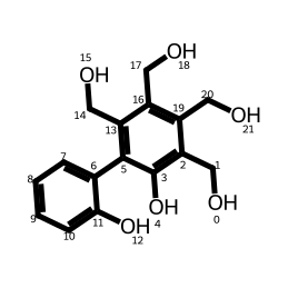 OCc1c(O)c(-c2ccccc2O)c(CO)c(CO)c1CO